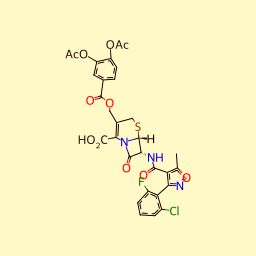 CC(=O)Oc1ccc(C(=O)OCC2=C(C(=O)O)N3C(=O)[C@@H](NC(=O)c4c(-c5c(F)cccc5Cl)noc4C)[C@H]3SC2)cc1OC(C)=O